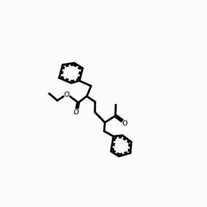 CCOC(=O)C(CCC(Cc1ccccc1)C(C)=O)Cc1ccccc1